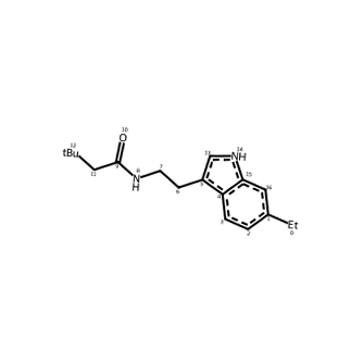 CCc1ccc2c(CCNC(=O)CC(C)(C)C)c[nH]c2c1